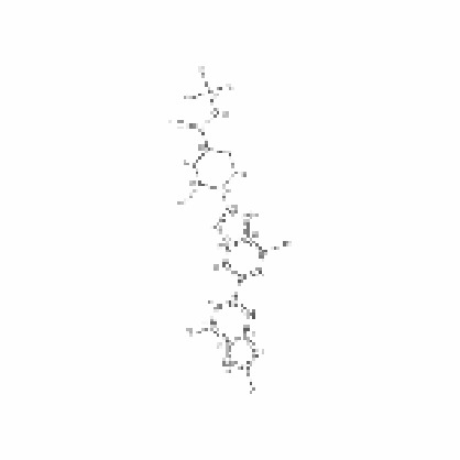 Cc1cn2nc(-c3cc(F)c4nn(C5CCN(C(=O)OC(C)(C)C)CC5F)cc4c3)cc(C)c2n1